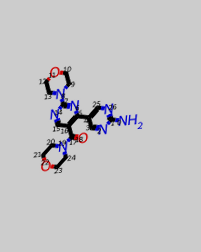 Nc1ncc(-c2nc(N3CCOCC3)ncc2C(=O)N2CCOCC2)cn1